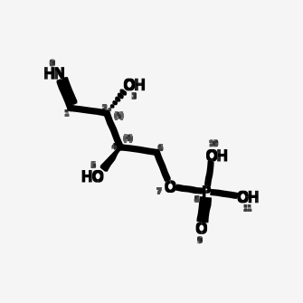 N=C[C@H](O)[C@H](O)COP(=O)(O)O